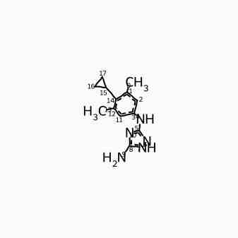 Cc1cc(Nc2n[nH]c(N)n2)cc(C)c1C1CC1